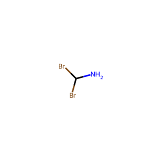 NC(Br)Br